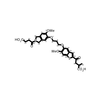 COc1cc2c(cc1OCCCOc1cc3cc(C(=O)CC(C)C(=O)O)sc3cc1OC)CN(C(=O)CCC(=O)O)C2